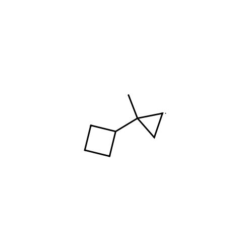 CC1(C2CCC2)[CH]C1